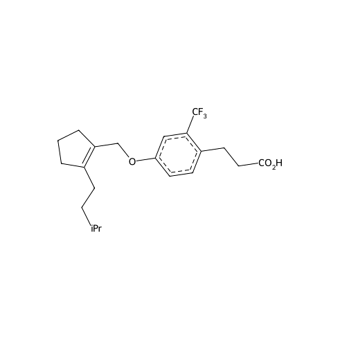 CC(C)CCC1=C(COc2ccc(CCC(=O)O)c(C(F)(F)F)c2)CCC1